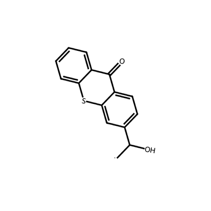 [CH2]C(O)c1ccc2c(=O)c3ccccc3sc2c1